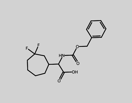 O=C(NC(C(=O)O)C1CCCCC(F)(F)C1)OCc1ccccc1